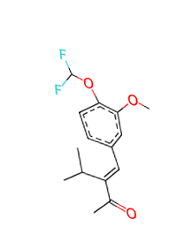 COc1cc(/C=C(/C(C)=O)C(C)C)ccc1OC(F)F